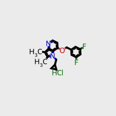 Cc1c(C)n(CC2CC2)c2c(OCc3cc(F)cc(F)c3)ccnc12.Cl